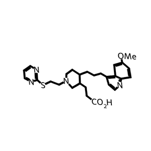 COc1ccc2nccc(CCCC3CCN(CCSc4ncccn4)CC3CCC(=O)O)c2c1